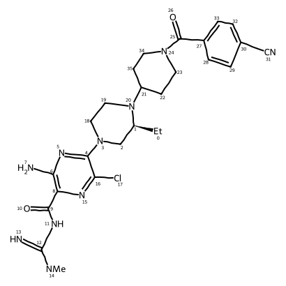 CC[C@H]1CN(c2nc(N)c(C(=O)NC(=N)NC)nc2Cl)CCN1C1CCN(C(=O)c2ccc(C#N)cc2)CC1